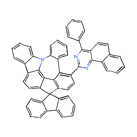 c1ccc(-c2nc(-c3ccc4c5c3-c3ccccc3-n3c6ccccc6c6ccc(c-5c63)C43c4ccccc4-c4ccccc43)nc3c2ccc2ccccc23)cc1